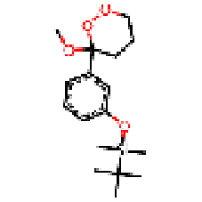 COC1(c2cccc(O[Si](C)(C)C(C)(C)C)c2)CCCOO1